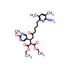 CCOC(=O)C(C(=O)OCC)C(CC(=O)CCCCc1nc(N)c(C)cc1C)c1cnc(OC)nc1